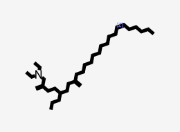 C=C(CCCCCCCCCC/C=C\CCCCC)CCC(CCC)CCC(=C)CN(CC)CC